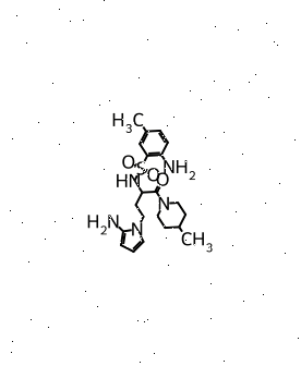 Cc1ccc(N)c(S(=O)(=O)NC(CCn2cccc2N)C(=O)N2CCC(C)CC2)c1